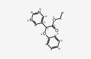 CCOC(=O)C(Oc1ccccc1)c1cncnc1